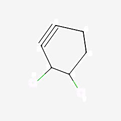 ClC1C#CCCC1Cl